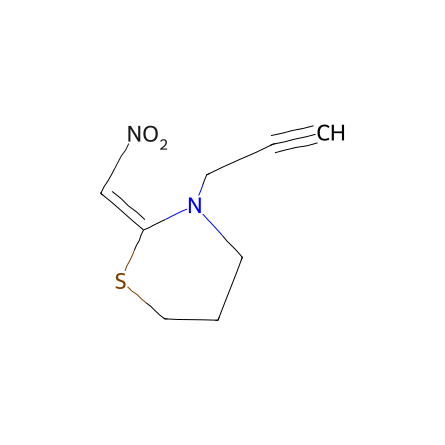 C#CCN1CCCSC1=C[N+](=O)[O-]